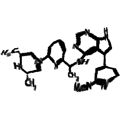 CNc1cc(-c2c[nH]c3ncnc(NC(C)c4cccc(N5C[C@@H](C)N[C@@H](C)C5)n4)c23)ccn1